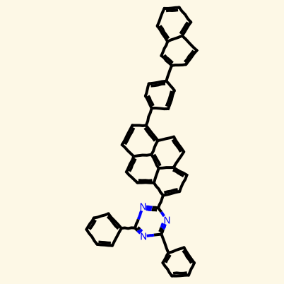 c1ccc(-c2nc(-c3ccccc3)nc(-c3ccc4ccc5c(-c6ccc(-c7ccc8ccccc8c7)cc6)ccc6ccc3c4c65)n2)cc1